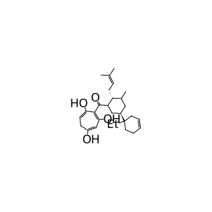 CCC1([C@@H]2CC(C)[C@@H](CC=C(C)C)C(C(=O)C3=C(O)C=C(O)CC=C3O)C2)CC=CCC1